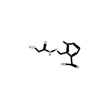 CCC(=O)NOCc1c(I)cccc1C(=O)O